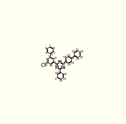 Clc1cc(-c2ccccc2)cc(-c2nc(-c3ccccc3)nc(-c3ccc(-c4ccccc4)cc3)n2)c1